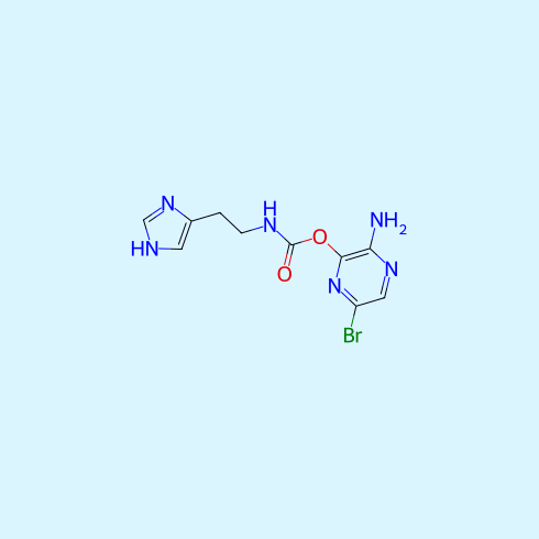 Nc1ncc(Br)nc1OC(=O)NCCc1c[nH]cn1